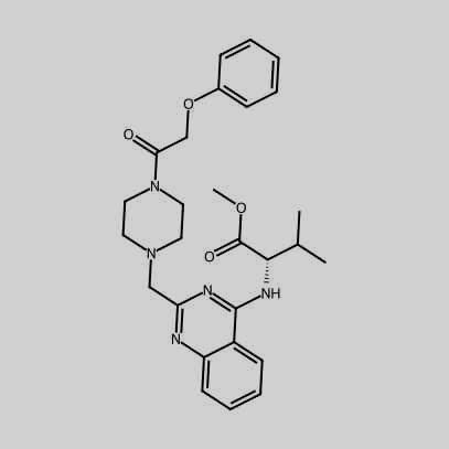 COC(=O)[C@@H](Nc1nc(CN2CCN(C(=O)COc3ccccc3)CC2)nc2ccccc12)C(C)C